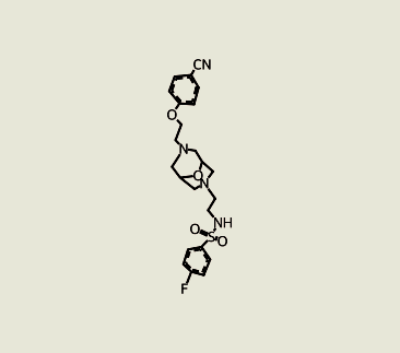 N#Cc1ccc(OCCN2CC3CN(CCNS(=O)(=O)c4ccc(F)cc4)CC(C2)O3)cc1